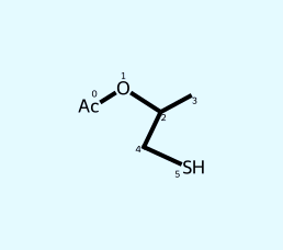 CC(=O)OC(C)CS